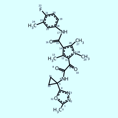 Cc1nnc(C2(NC(=O)C(=O)c3c(C)c(C(=O)Nc4ccc(F)c(C)c4)c(C)n3C)CC2)o1